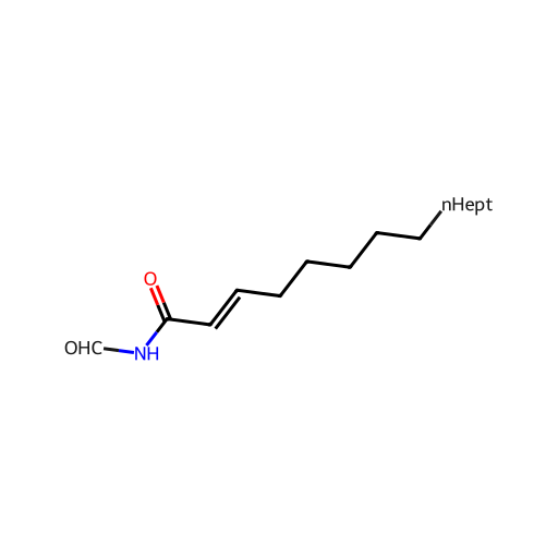 CCCCCCCCCCCCC=CC(=O)NC=O